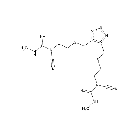 CNC(=N)N(C#N)CCSCc1nnsc1CSCCN(C#N)C(=N)NC